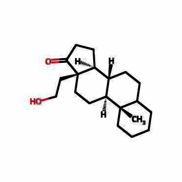 C[C@]12CCCCC1CC[C@H]1[C@@H]3CCC(=O)[C@@]3(CCO)CC[C@@H]12